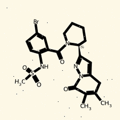 CC1=C(C)C(=O)n2nc([C@@H]3CCCCN3C(=O)c3cc(Br)ccc3NS(C)(=O)=O)cc2C1